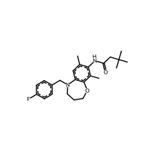 Cc1cc2c(c(C)c1NC(=O)CC(C)(C)C)OCCCN2Cc1ccc(F)cc1